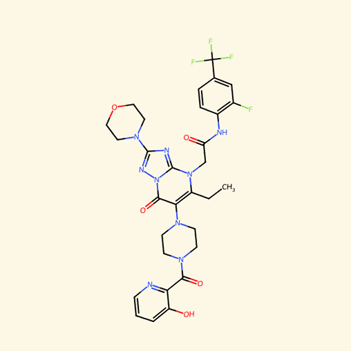 CCc1c(N2CCN(C(=O)c3ncccc3O)CC2)c(=O)n2nc(N3CCOCC3)nc2n1CC(=O)Nc1ccc(C(F)(F)F)cc1F